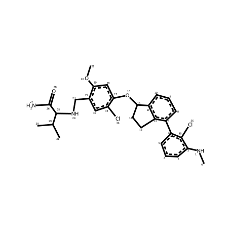 CNc1cccc(-c2cccc3c2CCC3Oc2cc(OC)c(CNC(C(N)=O)C(C)C)cc2Cl)c1Cl